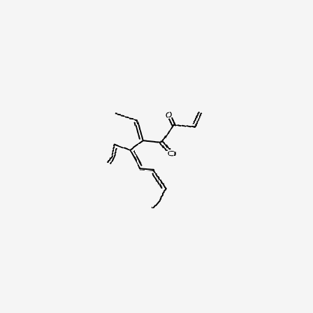 C=CC(=O)C(=O)C(=C/C)/C(C=C)=C\C=C/C